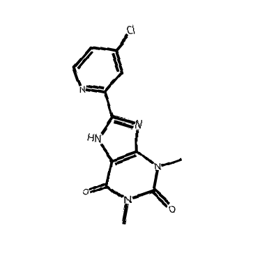 Cn1c(=O)c2[nH]c(-c3cc(Cl)ccn3)nc2n(C)c1=O